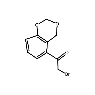 O=C(CBr)c1cccc2c1COCO2